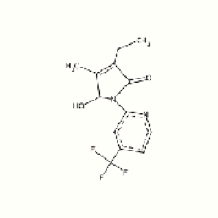 CCC1=C(C)C(O)N(c2cc(C(F)(F)F)ccn2)C1=O